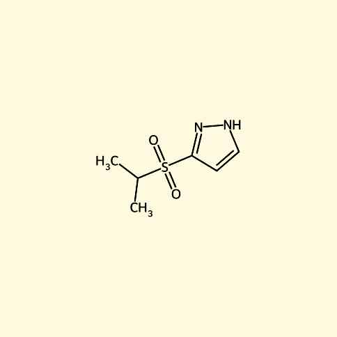 CC(C)S(=O)(=O)c1cc[nH]n1